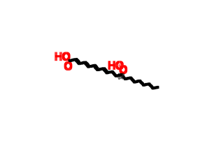 CCCCCCCC[C@@H](CCC=CC=CC=CC=CC(=O)O)OO